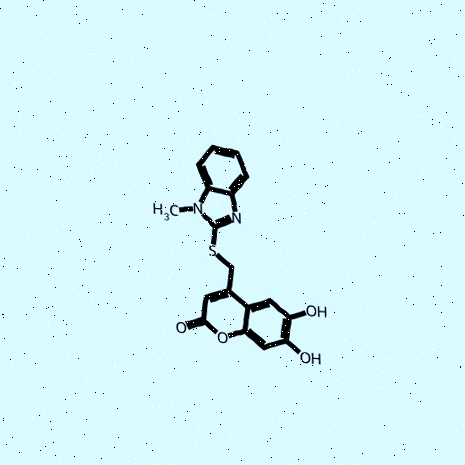 Cn1c(SCc2cc(=O)oc3cc(O)c(O)cc23)nc2ccccc21